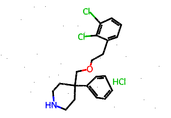 Cl.Clc1cccc(CCOCC2(c3ccccc3)CCNCC2)c1Cl